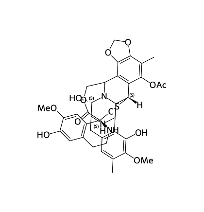 COc1cc2c(cc1O)CCN[C@@]21CS[C@H]2c3c(OC(C)=O)c(C)c4c(c3C(COC1=O)N1C2C2NC(Cc3cc(C)c(OC)c(O)c32)[C@@H]1O)OCO4